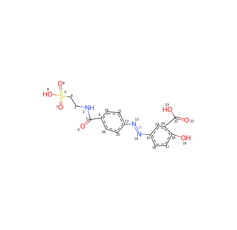 O=C(NCCS(=O)(=O)O)c1ccc(/N=N/c2ccc(O)c(C(=O)O)c2)cc1